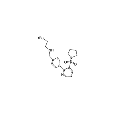 CC(C)(C)CCNCc1ccc(-c2ncccc2S(=O)(=O)N2CCCC2)cc1